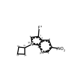 O=[N+]([O-])c1cnc2c(c1)c(F)cn2C1CCC1